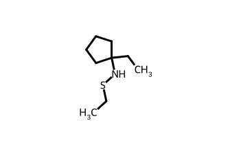 CCSNC1(CC)CCCC1